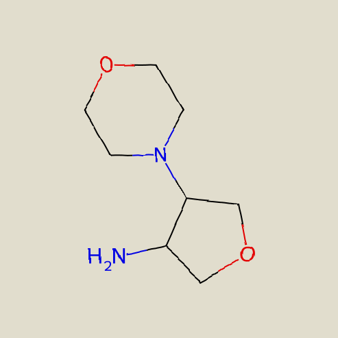 NC1COCC1N1CCOCC1